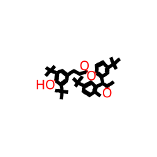 CC(=O)C(c1cc(C(C)(C)C)ccc1C)c1cc(C(C)(C)C)ccc1OC(=O)CCc1cc(C(C)(C)C)c(O)c(C(C)(C)C)c1